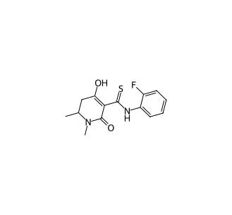 CC1CC(O)=C(C(=S)Nc2ccccc2F)C(=O)N1C